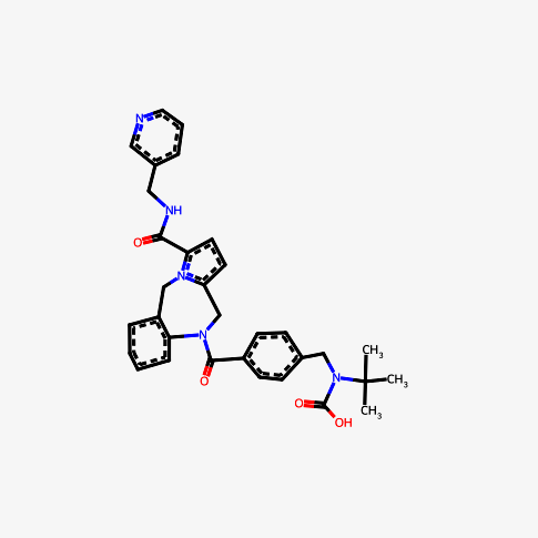 CC(C)(C)N(Cc1ccc(C(=O)N2Cc3ccc(C(=O)NCc4cccnc4)n3Cc3ccccc32)cc1)C(=O)O